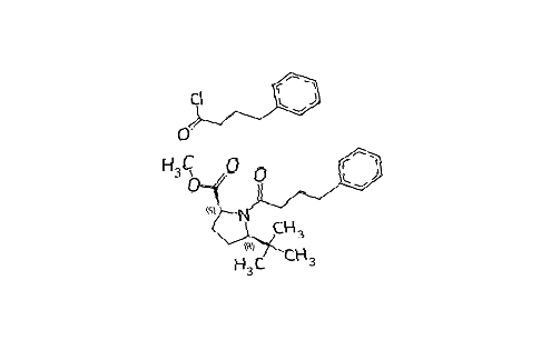 COC(=O)[C@@H]1CC[C@H](C(C)(C)C)N1C(=O)CCCc1ccccc1.O=C(Cl)CCCc1ccccc1